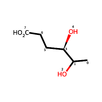 CC(O)[C@H](O)CCC(=O)O